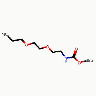 CC(C)(C)OC(=O)NCCOCCOCCC#N